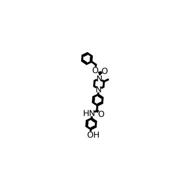 CC1CN(c2ccc(C(=O)Nc3ccc(O)cc3)cc2)CCN1C(=O)OCc1ccccc1